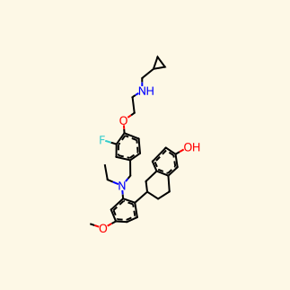 CCN(Cc1ccc(OCCNCC2CC2)c(F)c1)c1cc(OC)ccc1C1CCc2cc(O)ccc2C1